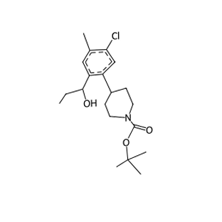 CCC(O)c1cc(C)c(Cl)cc1C1CCN(C(=O)OC(C)(C)C)CC1